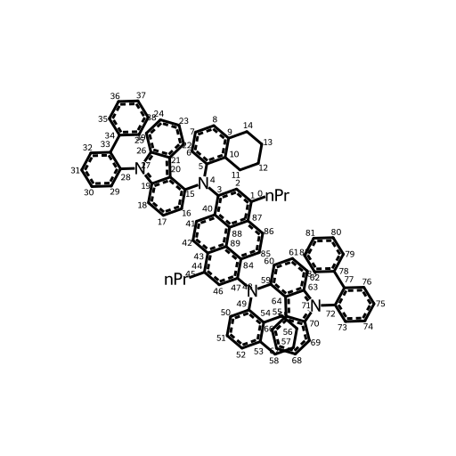 CCCc1cc(N(c2cccc3c2CCCC3)c2cccc3c2c2ccccc2n3-c2ccccc2-c2ccccc2)c2ccc3c(CCC)cc(N(c4cccc5c4CCCC5)c4cccc5c4c4ccccc4n5-c4ccccc4-c4ccccc4)c4ccc1c2c34